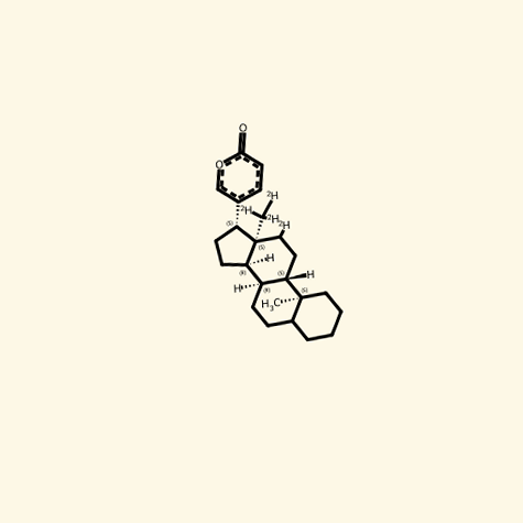 [2H]C1C[C@H]2[C@@H](CCC3CCCC[C@@]32C)[C@H]2CC[C@H](c3ccc(=O)oc3)[C@@]12C([2H])([2H])[2H]